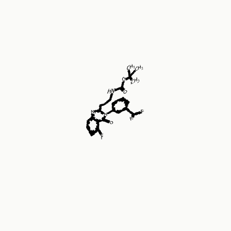 CC(C)(C)OC(=O)NCCc1nc2cccc(F)c2c(=O)n1-c1cccc(C(F)F)c1